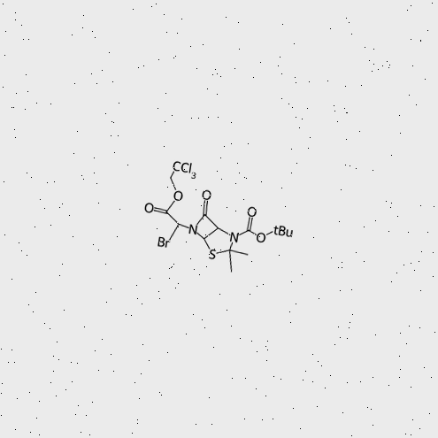 CC(C)(C)OC(=O)N1C2C(=O)N(C(Br)C(=O)OCC(Cl)(Cl)Cl)C2SC1(C)C